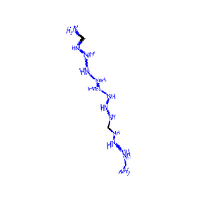 NCNNNNNNNNCNNNN